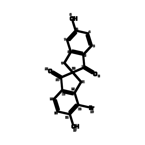 O=C1c2ccc(O)cc2CC12Cc1c(ccc(O)c1Br)C2=O